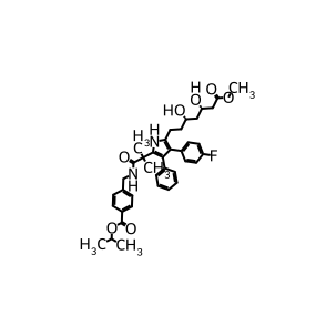 COC(=O)C[C@H](O)C[C@H](O)CCc1[nH]c(C(C)(C)C(=O)NCc2ccc(C(=O)OC(C)C)cc2)c(-c2ccccc2)c1-c1ccc(F)cc1